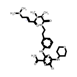 CCc1nc(C(N)=O)c(Nc2cccc(CCNC(=O)[C@H](C)N(C)C(=O)/C=C/CN(C)C)c2)nc1NC1CCOCC1